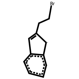 BrCCC1=Cc2ccccc2[CH]1